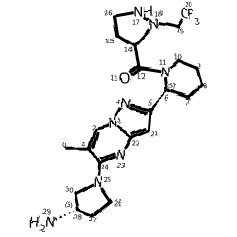 Cc1cn2nc([C@@H]3CCCCN3C(=O)C3CCNN3CC(F)(F)F)cc2nc1N1CC[C@H](N)C1